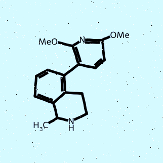 COc1ccc(-c2cccc3c2CCNC3C)c(OC)n1